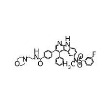 CN(c1ccc2[nH]c3ncc(-c4ccc(C(=O)NCCN5CCOCC5)cc4)c(-c4ccccc4)c3c2c1)S(=O)(=O)c1cccc(F)c1